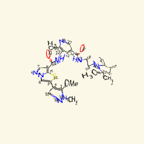 COc1c(-c2cn3ncc(C(=O)Nc4cc(C(=O)NCCN5CCCC5(C)C)cnc4C)c3s2)cnn1C